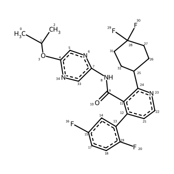 CC(C)Oc1cnc(NC(=O)c2c(-c3cc(F)ccc3F)ccnc2C2CCC(F)(F)CC2)cn1